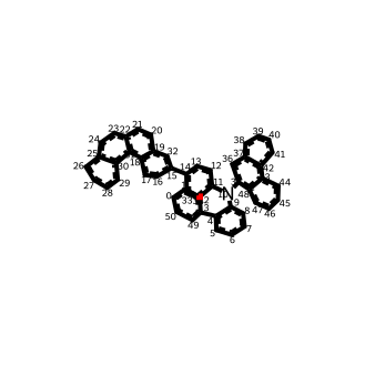 c1ccc(-c2ccccc2N(c2ccc(-c3ccc4c(ccc5ccc6ccccc6c54)c3)cc2)c2cc3ccccc3c3ccccc23)cc1